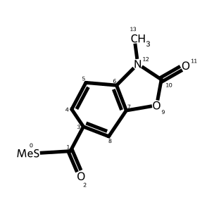 CSC(=O)c1ccc2c(c1)oc(=O)n2C